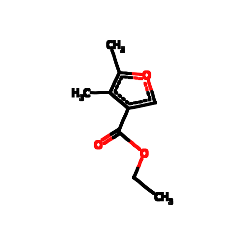 CCOC(=O)c1coc(C)c1C